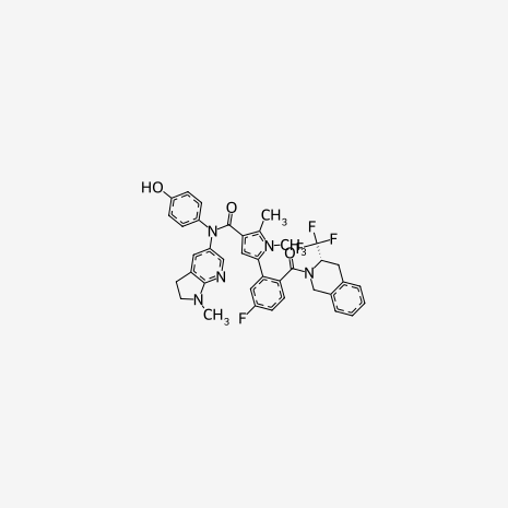 Cc1c(C(=O)N(c2ccc(O)cc2)c2cnc3c(c2)CCN3C)cc(-c2cc(F)ccc2C(=O)N2Cc3ccccc3C[C@H]2C(F)(F)F)n1C